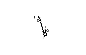 COC(=O)CCCCCCc1nc2cc(F)ccc2c(=O)[nH]1